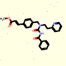 COC(=O)C=Cc1ccc(CN(CCc2ccccn2)C(=O)NC(=O)c2ccccc2)cc1